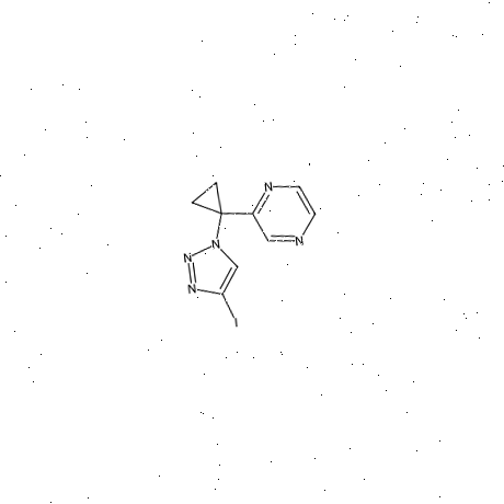 Ic1cn(C2(c3cnccn3)CC2)nn1